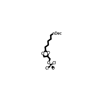 CCCCCCCCCCCCCCCC1OCC(COP(=O)(Cl)Cl)O1